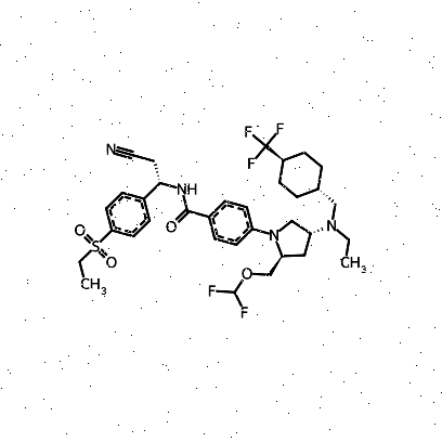 CCN(C[C@H]1CC[C@H](C(F)(F)F)CC1)[C@@H]1C[C@@H](COC(F)F)N(c2ccc(C(=O)N[C@@H](CC#N)c3ccc(S(=O)(=O)CC)cc3)cc2)C1